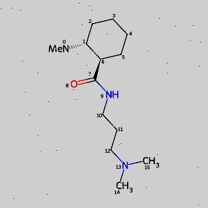 CN[C@@H]1CCCC[C@H]1C(=O)NCCCN(C)C